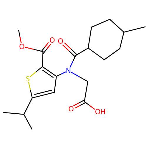 COC(=O)c1sc(C(C)C)cc1N(CC(=O)O)C(=O)C1CCC(C)CC1